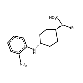 CC(C)(C)N(C(=O)O)[C@H]1CC[C@H](Nc2ccccc2[N+](=O)[O-])CC1